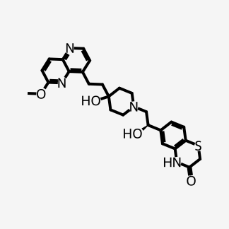 COc1ccc2nccc(CCC3(O)CCN(C[C@H](O)c4ccc5c(c4)NC(=O)CS5)CC3)c2n1